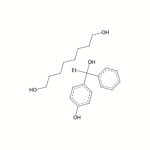 CCC(O)(c1ccccc1)c1ccc(O)cc1.OCCCCCCCCO